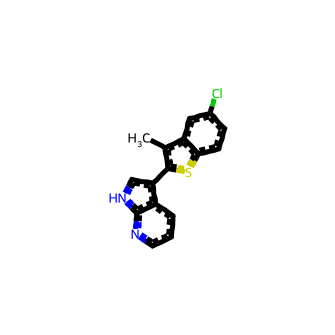 Cc1c(-c2c[nH]c3ncccc23)sc2ccc(Cl)cc12